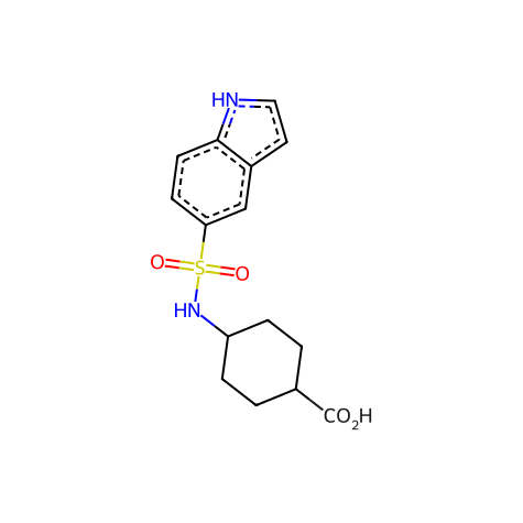 O=C(O)C1CCC(NS(=O)(=O)c2ccc3[nH]ccc3c2)CC1